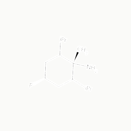 CC(C)C1C[C@H](F)CC(C(C)C)[C@]1(C)N